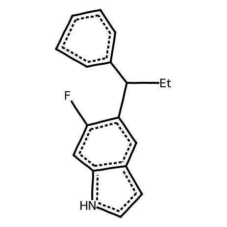 [CH2]CC(c1ccccc1)c1cc2cc[nH]c2cc1F